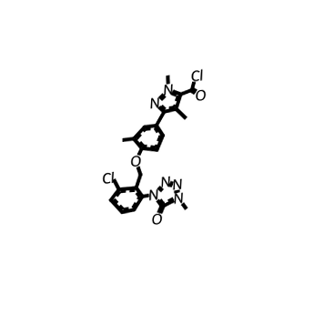 Cc1cc(-c2nn(C)c(C(=O)Cl)c2C)ccc1OCc1c(Cl)cccc1-n1nnn(C)c1=O